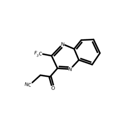 N#CCC(=O)c1nc2ccccc2nc1C(F)(F)F